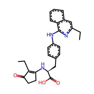 CCC1=C(N[C@@H](Cc2ccc(Nc3nc(CC)cc4ccccc34)cc2)C(=O)O)CCC1=O